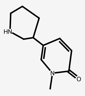 Cn1cc(C2CCCNC2)ccc1=O